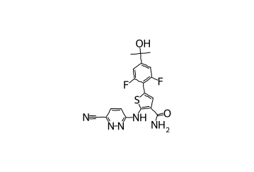 CC(C)(O)c1cc(F)c(-c2cc(C(N)=O)c(Nc3ccc(C#N)nn3)s2)c(F)c1